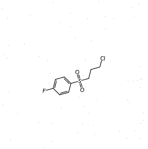 O=S(=O)(CCCCl)c1ccc(F)cc1